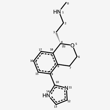 CNCC[C@@H]1OCCc2c(-c3ncc[nH]3)cccc21